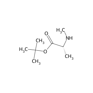 CN[C@H](C)C(=O)OC(C)(C)C